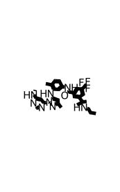 CCCNC(C)(C)c1cc(C(=O)Nc2ccc(C)c(Nc3cc(C)nn3-c3cc(NC)ncn3)c2)cc(C(F)(F)F)c1